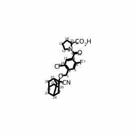 N#CC1(OCc2cc(F)c(C(=O)N3CCC[C@H]3C(=O)O)cc2Cl)C2CC3CC(C2)CC1C3